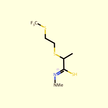 CN/N=C(\S)C(C)SCCSC(F)(F)F